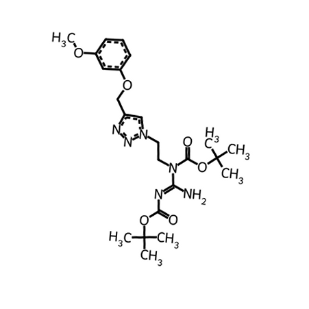 COc1cccc(OCc2cn(CCN(C(=O)OC(C)(C)C)C(N)=NC(=O)OC(C)(C)C)nn2)c1